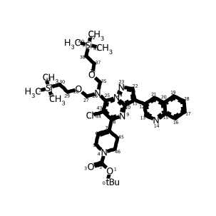 CC(C)(C)OC(=O)N1CC=C(c2nc3c(-c4cnc5ccccc5c4)cnn3c(N(COCC[Si](C)(C)C)COCC[Si](C)(C)C)c2Cl)CC1